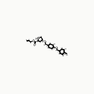 C=CCOC(=O)[C@@H]1C[C@@H](OCc2ccc(OCc3ccc(C)cc3)cc2)CN1